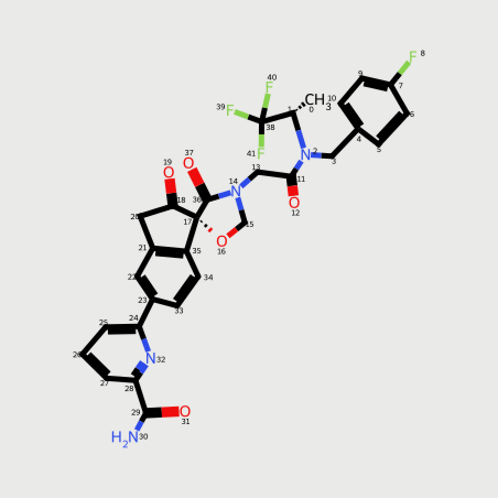 C[C@H](N(Cc1ccc(F)cc1)C(=O)CN1CO[C@]2(C(=O)Cc3cc(-c4cccc(C(N)=O)n4)ccc32)C1=O)C(F)(F)F